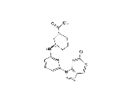 O=C(O)N1CCC[C@@H](Nc2cncc(-n3cnc4cnc(Cl)cc43)n2)C1